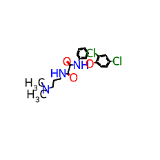 CN(C)CCCNC(=O)C(=O)Nc1ccccc1Oc1ccc(Cl)cc1Cl